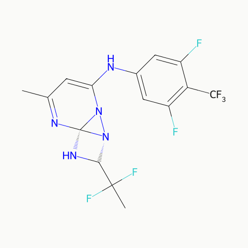 CC1=N[C@]23NC(C(C)(F)F)[N@@]2N3C(Nc2cc(F)c(C(F)(F)F)c(F)c2)=C1